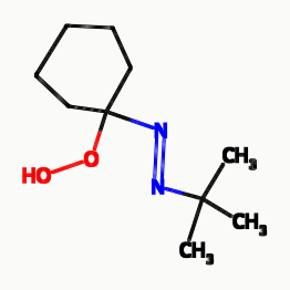 CC(C)(C)N=NC1(OO)CCCCC1